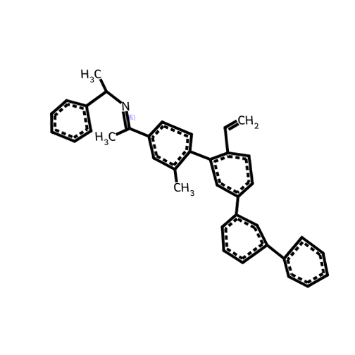 C=Cc1ccc(-c2cccc(-c3ccccc3)c2)cc1-c1ccc(/C(C)=N/C(C)c2ccccc2)cc1C